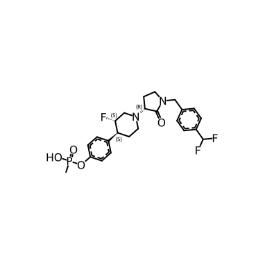 CP(=O)(O)Oc1ccc([C@@H]2CCN([C@@H]3CCN(Cc4ccc(C(F)F)cc4)C3=O)C[C@H]2F)cc1